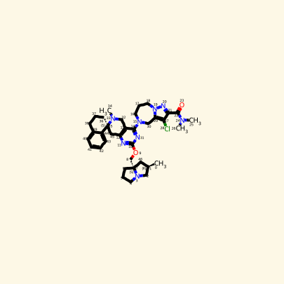 C[C@H]1CN2CCC[C@@]2(COc2nc3c(c(N4CCCn5nc(C(=O)N(C)C)c(Cl)c5C4)n2)CN(C)[C@@]2(CCCc4ccccc42)C3)C1